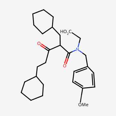 COc1ccc(CN(CC(=O)O)C(=O)C(CC2CCCCC2)C(=O)CCC2CCCCC2)cc1